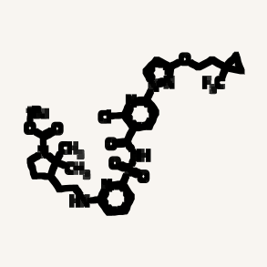 CC(C)(C)OC(=O)N1CCC(CCNc2cccc(S(=O)(=O)NC(=O)c3ccc(-n4ccc(OCCC5(C(F)(F)F)CC5)n4)nc3Cl)n2)C1(C)C